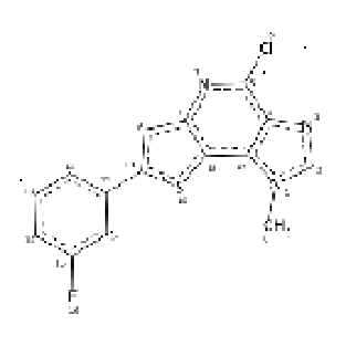 Cn1cnc2c(Cl)nc3cc(-c4cccc(F)c4)sc3c21